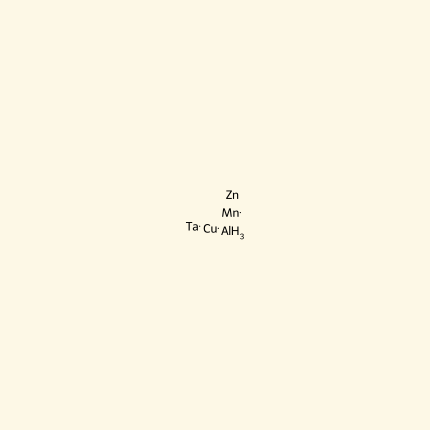 [AlH3].[Cu].[Mn].[Ta].[Zn]